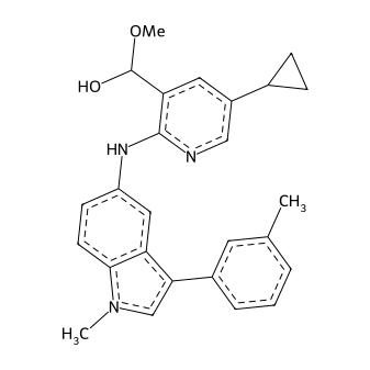 COC(O)c1cc(C2CC2)cnc1Nc1ccc2c(c1)c(-c1cccc(C)c1)cn2C